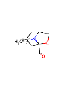 CC1CC2COC(C=O)(C1)N2C